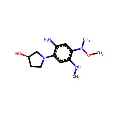 CNc1cc(N2CC[C@@H](O)C2)c(N)cc1N(C)OC